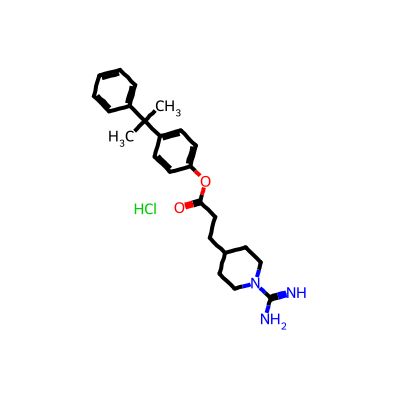 CC(C)(c1ccccc1)c1ccc(OC(=O)CCC2CCN(C(=N)N)CC2)cc1.Cl